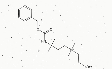 CCCCCCCCCCCC[N+](C)(C)CCC(C)(C)NC(=O)OCc1ccccc1.[I-]